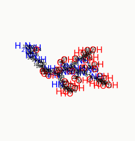 C[C@H](NC(=O)[C@H](CCC(=O)NC[C@H](O)[C@@H](O)[C@H](O)[C@H](O)CO)NC(=O)[C@H](CCC(=O)O)NC(=O)[C@H](CCC(=O)NC[C@H](O)[C@@H](O)[C@H](O)[C@H](O)CO)NC(=O)[C@H](CCC(=O)O)NC(=O)[C@H](CCC(=O)NC[C@H](O)[C@@H](O)[C@H](O)[C@H](O)CO)NC(=O)CC[C@H](NC(=O)c1ccc(NCc2cnc3nc(N)[nH]c(=O)c3n2)cc1)C(=O)O)C(=O)O